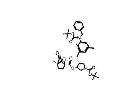 Cc1cc(C[C@@H]2CN(C(=O)OC(C)(C)C)C[C@@H]2OC(=O)[C@@]23CC[C@@](C)(C(=O)O2)C3(C)C)nc(N(Cc2ccccc2)C(=O)OC(C)(C)C)c1